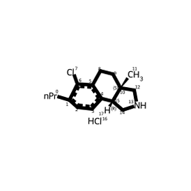 CCCc1ccc2c(c1Cl)CC[C@]1(C)CNC[C@H]21.Cl